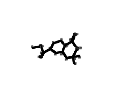 COC(=O)C1CCN2C(=O)OC(C)(C)CC2C1